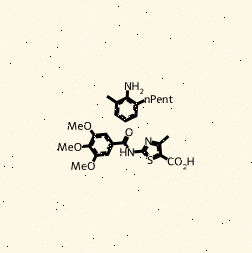 CCCCCc1cccc(C)c1N.COc1cc(C(=O)Nc2nc(C)c(C(=O)O)s2)cc(OC)c1OC